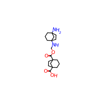 NC12CCCC(NCOC(=O)C34CCCC(C(=O)O)(CC3)C4)(CC1)C2